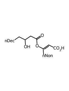 CCCCCCCCCCCC(O)CC(=O)OC(=CC(=O)O)CCCCCCCCC